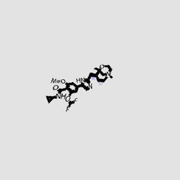 C/C=C\C(=C/c1ncc(-c2cc(OC)c(C(=O)NC3CC3)c(OC(F)F)c2)[nH]1)C1(C)CN(C)CCO1